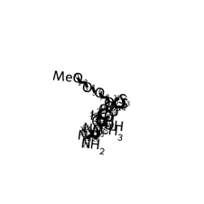 COCCOCCOCCO[C@H]1CSSC[C@@H]1OP1(=O)OC[C@H]2O[C@@H](n3ccc4c(N)ncnc43)[C@](C)(O)[C@@H]2O1